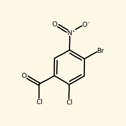 O=C(Cl)c1cc([N+](=O)[O-])c(Br)cc1Cl